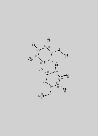 NCC1O[C@H](O[C@H]2OC(CN)[C@@H](O)[C@H](O)C2O)[C@H](O)C(O)[C@@H]1O